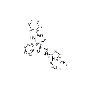 CCN1/C(=N/NC(=O)C(=O)[C@@H](NC(=O)C2CCCCC2)C2CCOCC2)SC[C@@H]1C